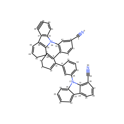 N#Cc1ccc(C2=CCCC=C2c2cccc(-n3c4ccccc4c4cccc(C#N)c43)c2)c(-n2c3c(c4c#cccc42)C=CCC3)c1